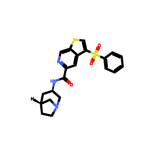 O=C(N[C@@H]1C[C@H]2CCN(C2)C1)c1cc2c(S(=O)(=O)c3ccccc3)csc2cn1